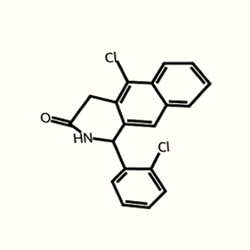 O=C1Cc2c(cc3ccccc3c2Cl)C(c2ccccc2Cl)N1